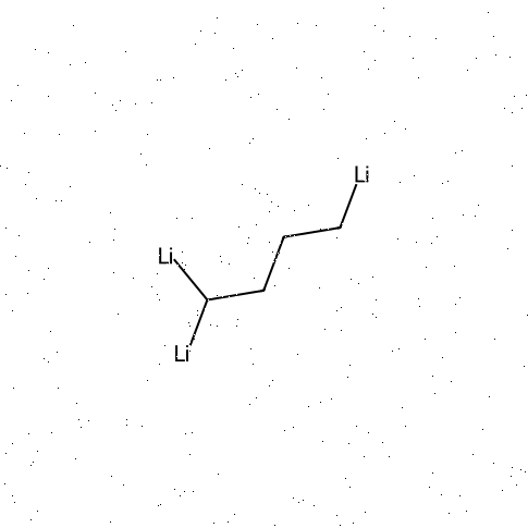 [Li][CH2]CC[CH]([Li])[Li]